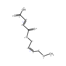 COC/C=C\COC(=O)/C=C/C(=O)O